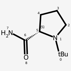 CC(C)(C)N1CCC[C@H]1C(N)=O